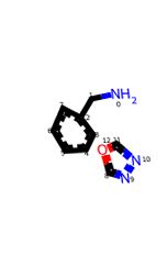 NCc1ccccc1.c1nnco1